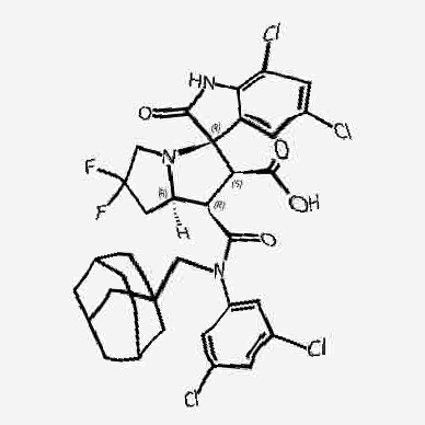 O=C(O)[C@H]1[C@@H](C(=O)N(CC23CC4CC(CC(C4)C2)C3)c2cc(Cl)cc(Cl)c2)[C@H]2CC(F)(F)CN2[C@]12C(=O)Nc1c(Cl)cc(Cl)cc12